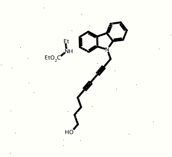 CCNC(=O)OCC.OCCCCC#CC#CCn1c2ccccc2c2ccccc21